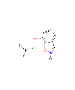 CC[n+]1cc2cccc(O)c2o1.FB(F)F